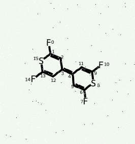 FC1=CC(=C2C=C(F)SC(F)=C2)C=C(F)S1